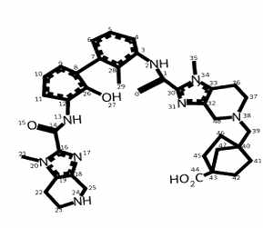 C=C(Nc1cccc(-c2cccc(NC(=O)c3nc4c(n3C)CCNC4)c2O)c1C)c1nc2c(n1C)CCN(CC13CCC(C(=O)O)(CC1)C3)C2